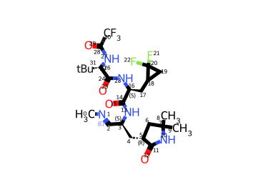 C/N=C/[C@H](C[C@@H]1CC(C)(C)NC1=O)NC(=O)[C@H](CC1CC1(F)F)NC(=O)[C@@H](NC(=O)C(F)(F)F)C(C)(C)C